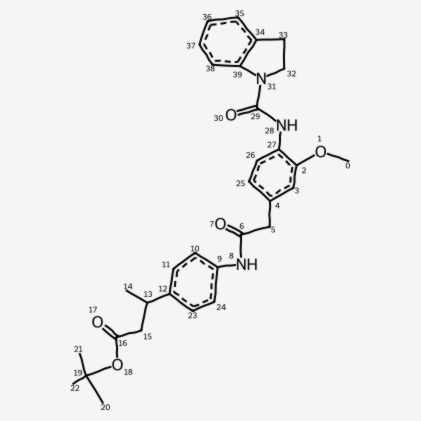 COc1cc(CC(=O)Nc2ccc(C(C)CC(=O)OC(C)(C)C)cc2)ccc1NC(=O)N1CCc2ccccc21